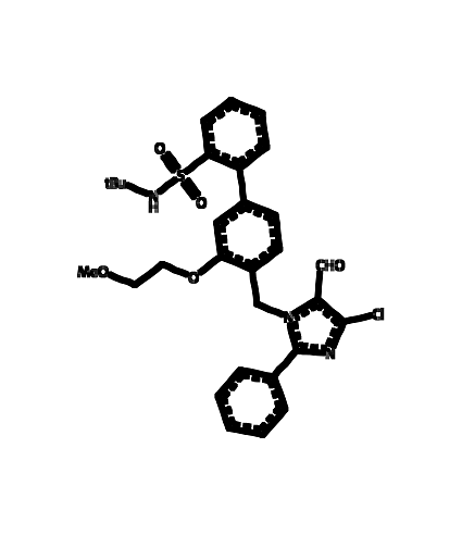 COCCOc1cc(-c2ccccc2S(=O)(=O)NC(C)(C)C)ccc1Cn1c(-c2ccccc2)nc(Cl)c1C=O